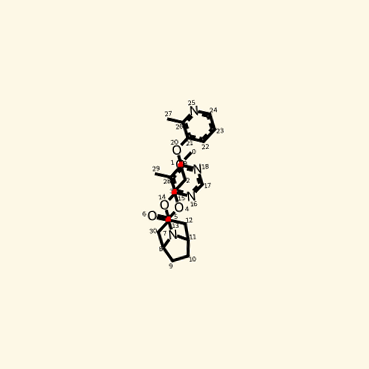 COCCOC(=O)N1C2CCC1CC(Oc1ncnc(Oc3cccnc3C)c1C)C2